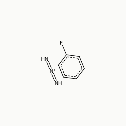 Fc1ccccc1.N=[N+]=N